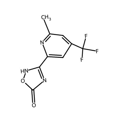 Cc1cc(C(F)(F)F)cc(-c2nc(=O)o[nH]2)n1